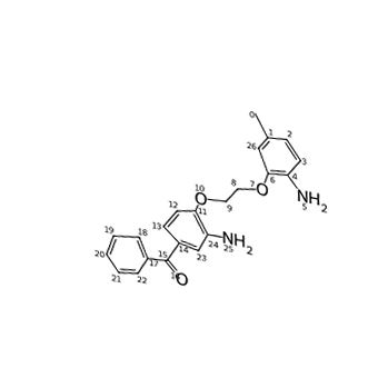 Cc1ccc(N)c(OCCOc2ccc(C(=O)c3ccccc3)cc2N)c1